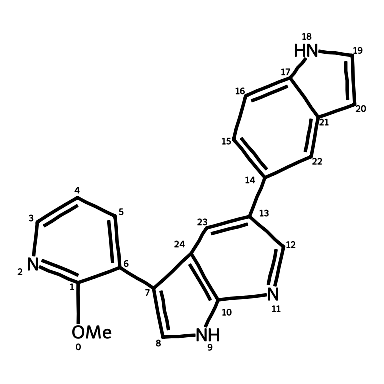 COc1ncccc1-c1c[nH]c2ncc(-c3ccc4[nH]ccc4c3)cc12